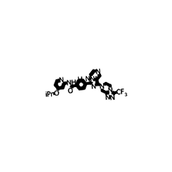 CC(C)Oc1ccnc(NC(=O)c2ccc(C3=NC(N4CCn5c(nnc5C(F)(F)F)C4)=C4C=NC=C[N+]34N)cc2)c1